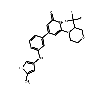 Cc1cc(Nc2cc(-c3cc(N4CCOCC4C(F)(F)F)[nH]c(=O)c3)ccn2)c[nH]1